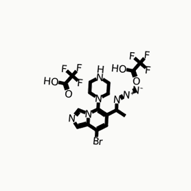 CC(N=[N+]=[N-])c1cc(Br)c2cncn2c1N1CCNCC1.O=C(O)C(F)(F)F.O=C(O)C(F)(F)F